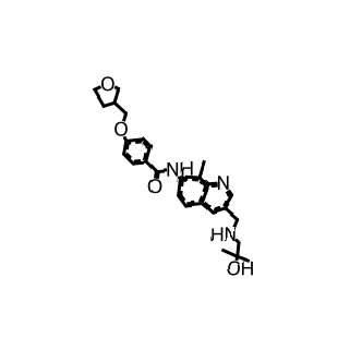 Cc1c(NC(=O)c2ccc(OCC3CCOC3)cc2)ccc2cc(CNCC(C)(C)O)cnc12